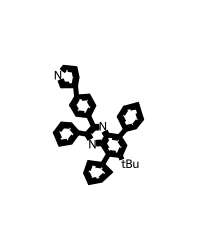 CC(C)(C)c1cc(-c2ccccc2)c2nc(-c3ccc(-c4cccnc4)cc3)c(-c3ccccc3)nc2c1-c1ccccc1